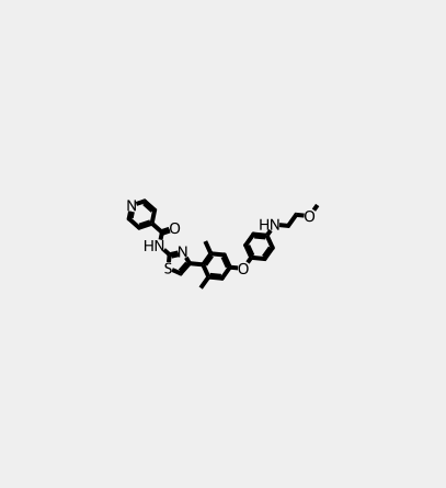 COCCNc1ccc(Oc2cc(C)c(-c3csc(NC(=O)c4ccncc4)n3)c(C)c2)cc1